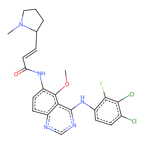 COc1c(NC(=O)/C=C/C2CCCN2C)ccc2ncnc(Nc3ccc(Cl)c(Cl)c3F)c12